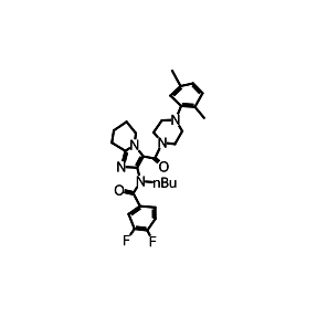 CCCCN(C(=O)c1ccc(F)c(F)c1)c1nc2n(c1C(=O)N1CCN(c3cc(C)ccc3C)CC1)CCCC2